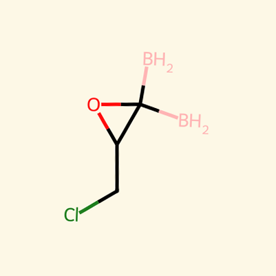 BC1(B)OC1CCl